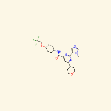 Cn1cncc1-c1nc(C(=O)NC2CCC(OCC(F)(F)F)CC2)cc(C2CCOCC2)n1